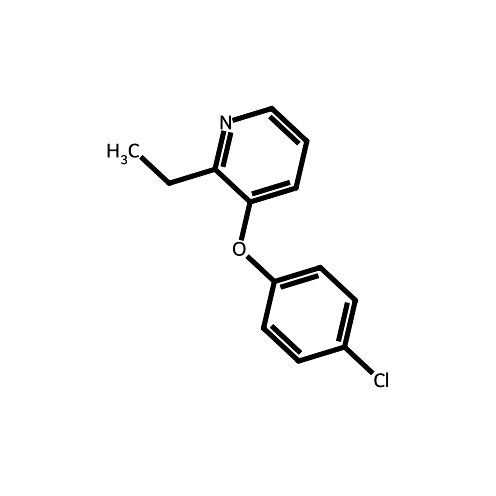 CCc1ncccc1Oc1ccc(Cl)cc1